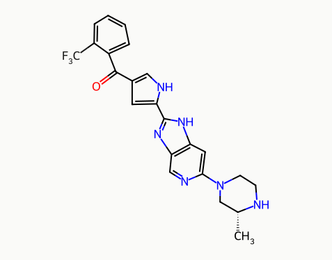 C[C@@H]1CN(c2cc3[nH]c(-c4cc(C(=O)c5ccccc5C(F)(F)F)c[nH]4)nc3cn2)CCN1